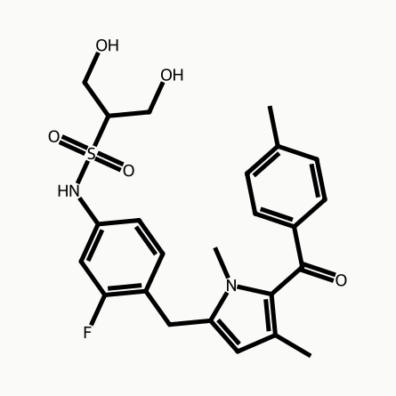 Cc1ccc(C(=O)c2c(C)cc(Cc3ccc(NS(=O)(=O)C(CO)CO)cc3F)n2C)cc1